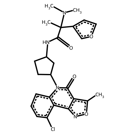 Cc1onc2c1c(=O)n(C1CCC(NC(=O)C(C)(c3ccoc3)N(C)C)C1)c1cccc(Cl)c21